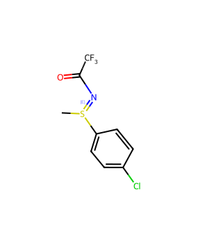 C/S(=N\C(=O)C(F)(F)F)c1ccc(Cl)cc1